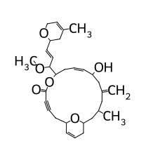 C=C1CC(O)/C=C\CC(C(/C=C/C2CC(C)=CCO2)OC)OC(=O)C#CCC2C=CCC(CC(C)C1)O2